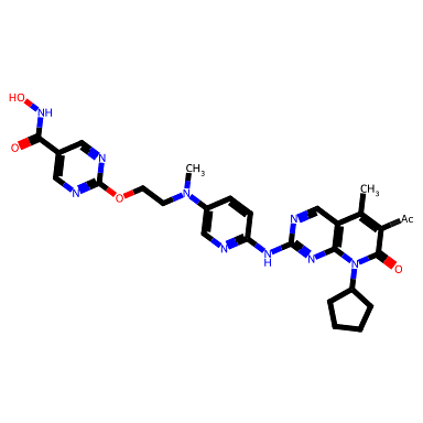 CC(=O)c1c(C)c2cnc(Nc3ccc(N(C)CCOc4ncc(C(=O)NO)cn4)cn3)nc2n(C2CCCC2)c1=O